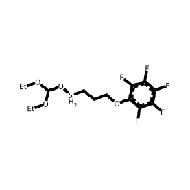 CCOC(OCC)O[SiH2]CCCOc1c(F)c(F)c(F)c(F)c1F